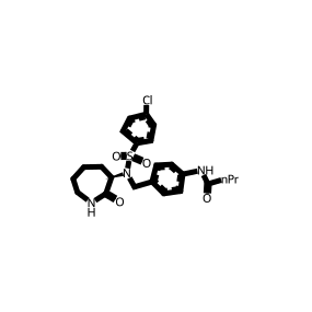 CCCC(=O)Nc1ccc(CN([C@@H]2CCCCNC2=O)S(=O)(=O)c2ccc(Cl)cc2)cc1